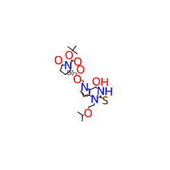 CC(C)OCCN1C(=S)NC(O)c2c1ccn2COC(=O)[C@@H]1CCC(=O)N1C(=O)OC(C)(C)C